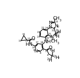 [2H]C([2H])([2H])CC(=O)c1cnc(NC(=O)C2CC2)cc1Nc1cccc2c1N(C)C([2H])([2H])c1nc(C)nn1-2